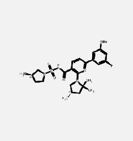 CC(C)COc1cc(F)cc(-c2ccc(C(=O)NS(=O)(=O)N3CC[C@@H](N)C3)c(N3C[C@@H](C)CC3(C)C)n2)c1